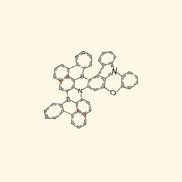 c1ccc(-c2ccccc2B2c3ccccc3N3c4cc5c6c(c4B(c4ccccc4-c4ccccc4)c4cccc2c43)c2ccccc2n6-c2ccccc2O5)cc1